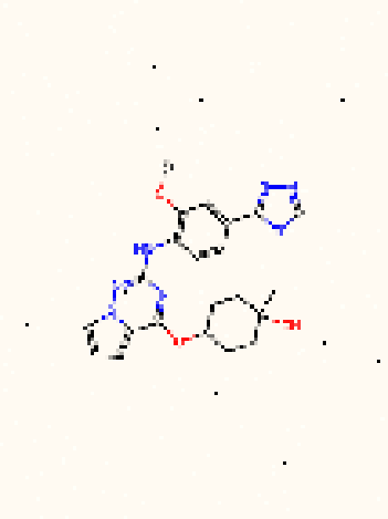 CCOc1cc(-c2nncn2C)ccc1Nc1nc(OC2CCC(C)(O)CC2)c2cccn2n1